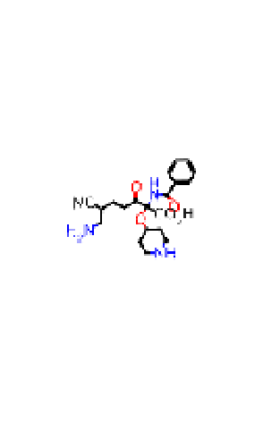 N#CC(CN)CCC(=O)C(NC(=O)c1ccccc1)(OC1CCNCC1)C(=O)O